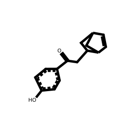 O=C(CC1CC2C=CC1C2)c1ccc(O)cc1